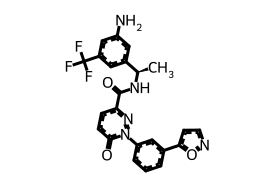 C[C@@H](NC(=O)c1ccc(=O)n(-c2cccc(-c3ccno3)c2)n1)c1cc(N)cc(C(F)(F)F)c1